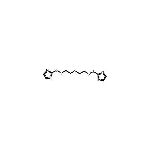 c1csc(SSCCSCCSSc2nccs2)n1